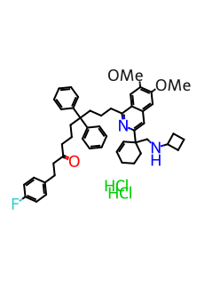 COc1cc2cc(C3(CNC4CCC4)C=CCCC3)nc(CCCC(CCCC(=O)CCc3ccc(F)cc3)(c3ccccc3)c3ccccc3)c2cc1OC.Cl.Cl